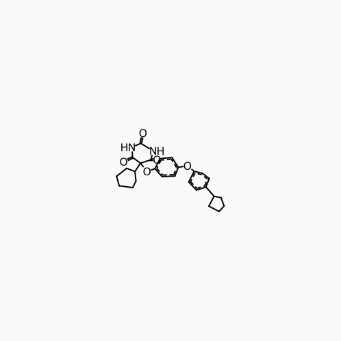 O=C1NC(=O)C(Oc2ccc(Oc3ccc(C4CCCC4)cc3)cc2)(C2CCCCC2)C(=O)N1